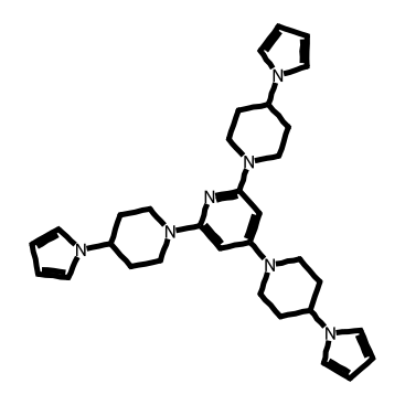 c1ccn(C2CCN(c3cc(N4CCC(n5cccc5)CC4)nc(N4CCC(n5cccc5)CC4)c3)CC2)c1